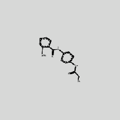 CSc1ccccc1C(=O)Nc1ccc(NC(=O)CC(C)C)cc1